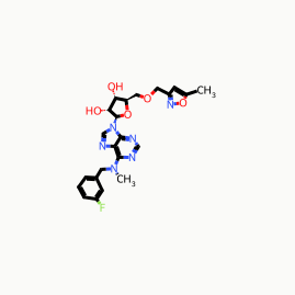 Cc1cc(COC[C@H]2O[C@@H](n3cnc4c(N(C)Cc5cccc(F)c5)ncnc43)[C@H](O)[C@@H]2O)no1